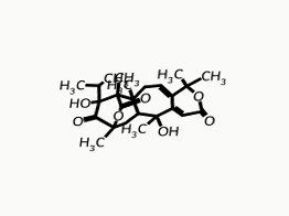 CC(C)C1(O)C(=O)C2(C)CC3C(C)(O)C4=CC(=O)OC(C)(C)C4=CCC3(C)C1(C)C(=O)O2